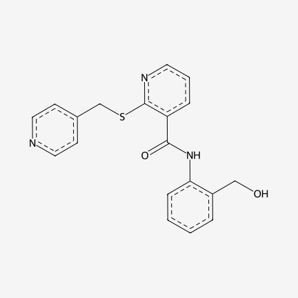 O=C(Nc1ccccc1CO)c1cccnc1SCc1ccncc1